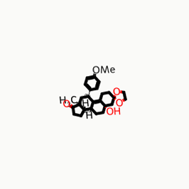 COc1ccc([C@H]2C[C@]3(C)C(=O)CC[C@H]3[C@@H]3CCC4(O)CC5(CCC4=C32)OCCO5)cc1